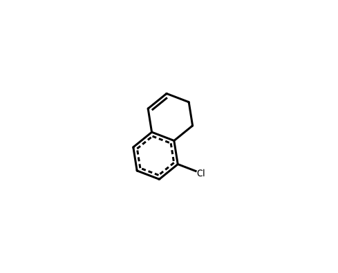 Clc1cccc2c1CCC=C2